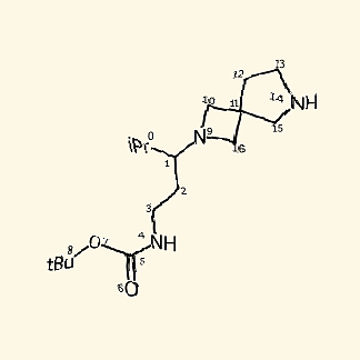 CC(C)C(CCNC(=O)OC(C)(C)C)N1CC2(CCNC2)C1